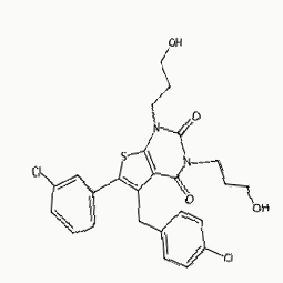 O=c1c2c(Cc3ccc(Cl)cc3)c(-c3cccc(Cl)c3)sc2n(CCCO)c(=O)n1CCCO